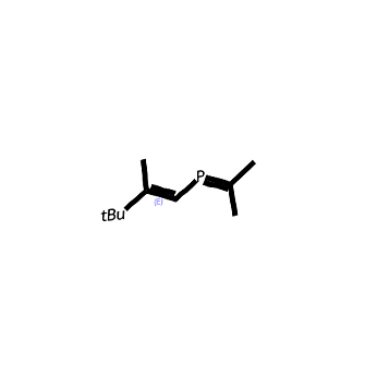 CC(C)=P/C=C(\C)C(C)(C)C